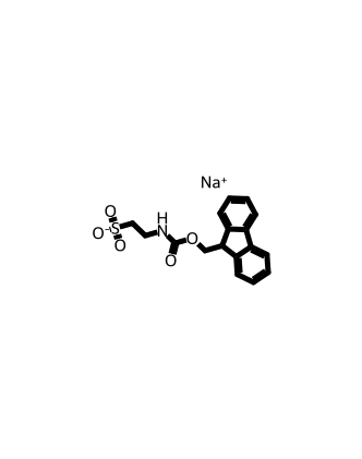 O=C(NCCS(=O)(=O)[O-])OCC1c2ccccc2-c2ccccc21.[Na+]